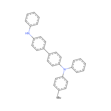 CC(C)(C)c1ccc(N(c2ccccc2)c2ccc(-c3ccc(Nc4ccccc4)cc3)cc2)cc1